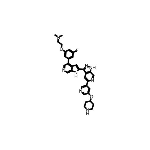 CN(C)CCOc1cc(F)cc(-c2cncc3[nH]c(-c4n[nH]c5cnc(-c6cncc(OC7CCNCC7)c6)cc45)cc23)c1